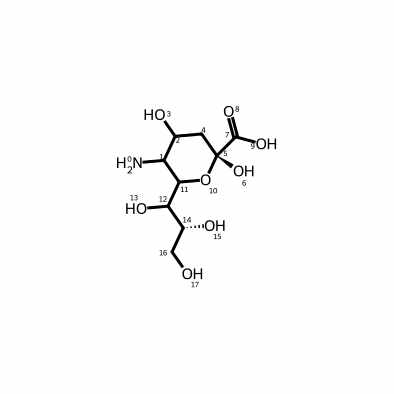 NC1C(O)C[C@](O)(C(=O)O)OC1C(O)[C@H](O)CO